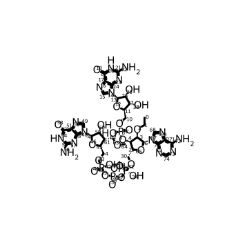 CCO[C@@H]1[C@H](OP(=O)(O)OC[C@H]2O[C@@H](n3cnc4c(=O)[nH]c(N)nc43)[C@H](O)[C@@H]2O)[C@@H](COP(=O)(O)OP(=O)(O)OP(=O)(O)OC[C@H]2O[C@@H](n3cnc4c(=O)[nH]c(N)nc43)[C@H](O)[C@@H]2COC)O[C@H]1n1cnc2c(N)ncnc21